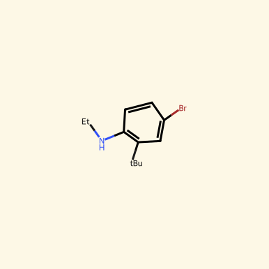 CCNc1ccc(Br)cc1C(C)(C)C